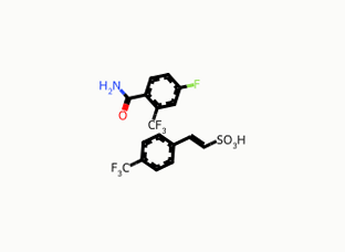 NC(=O)c1ccc(F)cc1C(F)(F)F.O=S(=O)(O)C=Cc1ccc(C(F)(F)F)cc1